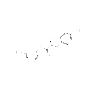 NC(=O)C[C@@H]([C]=O)NC(=O)[C@@H](N)Cc1ccc(O)cc1